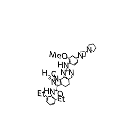 CCc1cccc(CC)c1NC(=O)c1nn(C)c2c1CCc1cnc(Nc3ccc(N4CC(N5CCCC5)C4)cc3OC)nc1-2